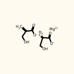 C=C(CO)C(=O)[O-].C=C(CO)C(=O)[O-].[Mg+2]